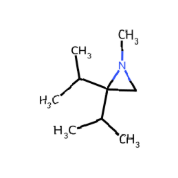 CC(C)C1(C(C)C)CN1C